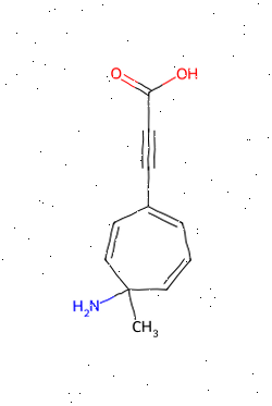 CC1(N)C=CC=C(C#CC(=O)O)C=C1